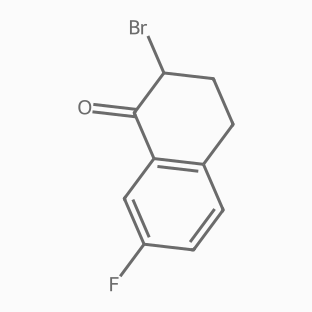 O=C1c2cc(F)ccc2CCC1Br